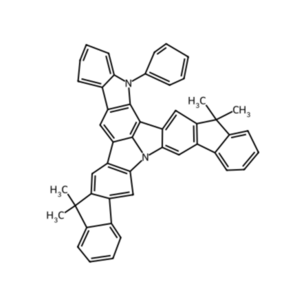 CC1(C)c2ccccc2-c2cc3c(cc21)c1cc2c4ccccc4n(-c4ccccc4)c2c2c4cc5c(cc4n3c12)-c1ccccc1C5(C)C